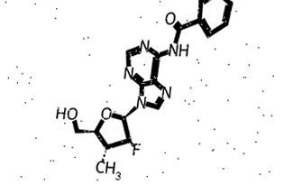 C[C@H]1[C@@H](F)[C@H](n2cnc3c(NC(=O)c4ccccc4)ncnc32)O[C@@H]1CO